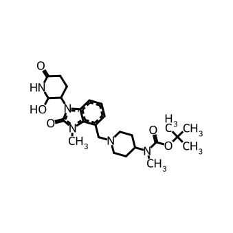 CN(C(=O)OC(C)(C)C)C1CCN(Cc2cccc3c2n(C)c(=O)n3C2CCC(=O)NC2O)CC1